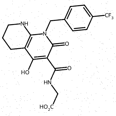 O=C(O)CNC(=O)c1c(O)c2c(n(Cc3ccc(C(F)(F)F)cc3)c1=O)NCCC2